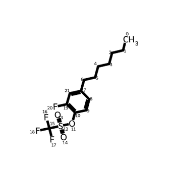 CCCCCCCc1ccc(OS(=O)(=O)C(F)(F)F)c(F)c1